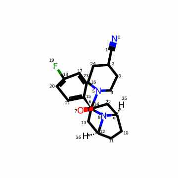 N#CC1CCN(C(=O)N2[C@@H]3CC[C@H]2C[C@@H](c2ccc(F)cc2)C3)CC1